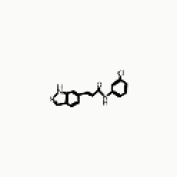 O=C(C=Cc1ccc2cn[nH]c2c1)Nc1cccc(Cl)c1